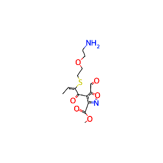 C/C=C(/SCCOCCN)C(=O)c1c(C(=O)OC)noc1C=O